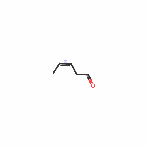 C/C=C\C[C]=O